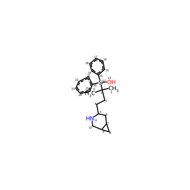 CC(C)(CCC1CC2CC2CN1)[Si](O)(c1ccccc1)c1ccccc1